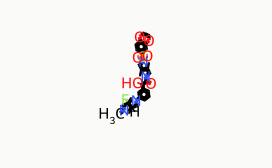 CN1C[C@H]2CN(c3cccc([C@@H](O)C(=O)N4CC5=C(C4)CN(S(=O)(=O)c4ccc6c(c4)OCCO6)C5)c3)C[C@@]2(F)C1